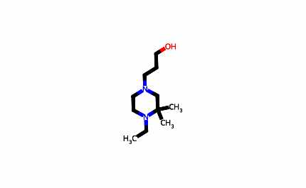 CCN1CCN(CCCO)CC1(C)C